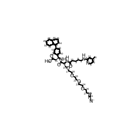 Cc1ccnc(NCCCCC(=O)N[C@@H](COCCOCCOCCOCCN=[N+]=[N-])C(=O)N[C@@H](CC(=O)O)c2ccc(-c3cccc4ccccc34)cc2)c1